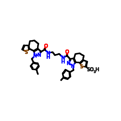 Cc1ccc(Cn2nc(C(=O)NCCCNC(=O)c3nn(Cc4ccc(C)cc4)c4c3CCCc3cc(S(=O)(=O)O)sc3-4)c3c2-c2sccc2CCC3)cc1